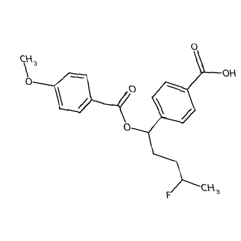 COc1ccc(C(=O)OC(CCC(C)F)c2ccc(C(=O)O)cc2)cc1